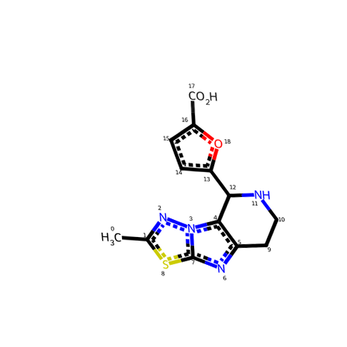 Cc1nn2c3c(nc2s1)CCNC3c1ccc(C(=O)O)o1